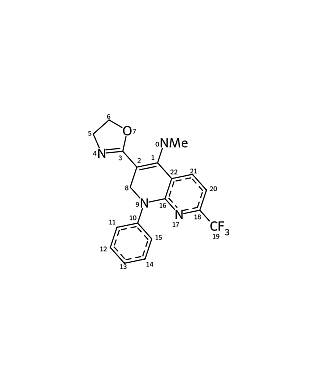 CNC1=C(C2=NCCO2)CN(c2ccccc2)c2nc(C(F)(F)F)ccc21